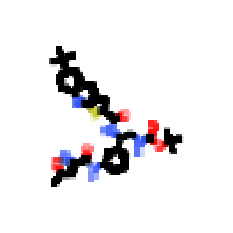 Cc1cc(C(=O)Nc2cccc(C(CNC(=O)OC(C)(C)C)NC(=O)c3cc4cc5cc(C(C)(C)C)ccc5nc4s3)c2)no1